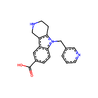 O=C(O)c1ccc2c(c1)c1c(n2Cc2cccnc2)CCNC1